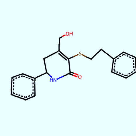 O=C1NC(c2ccccc2)CC(CO)=C1SCCc1ccccc1